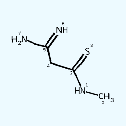 CNC(=S)CC(=N)N